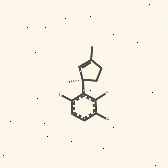 CC1=C[C@](C)(c2c(F)ccc(F)c2F)CC1